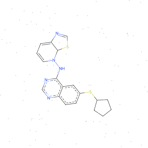 C1=CN(Nc2ncnc3ccc(SC4CCCC4)cc23)C2SC=NC2=C1